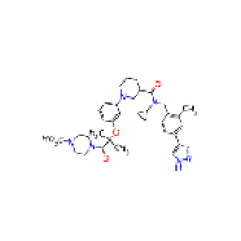 Cc1cc(-c2cn[nH]c2)ccc1CN(C(=O)C1CCCN(c2cccc(OC(C)(C)C(=O)N3CCN(C(=O)O)CC3)c2)C1)C1CC1